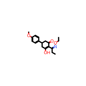 CCO/N=C(/CC)C1=C(O)CC(c2ccc(OC)cc2)CC1=O